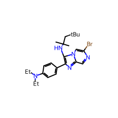 CCN(CC)c1ccc(-c2nc3cnc(Br)cn3c2NC(C)(C)CC(C)(C)C)cc1